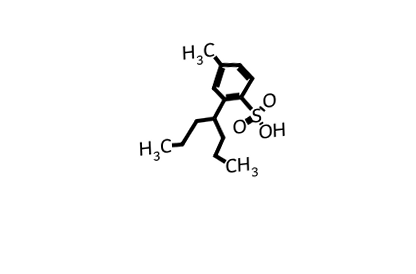 CCCC(CCC)c1cc(C)ccc1S(=O)(=O)O